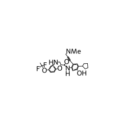 CNCC#Cc1cc(C2CCCC2)c(O)cc1NC(=O)C1CNc2cc(OC(C)(F)F)ccc2O1